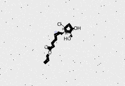 C=CCOC(=O)CCC/C=C\C[C@@H]1[C@@H](CO)[C@H](O)C[C@H]1Cl